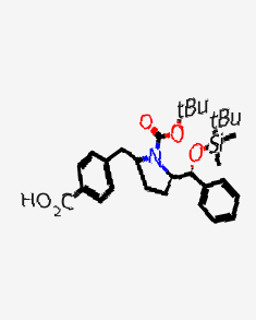 CC(C)(C)OC(=O)N1C(Cc2ccc(C(=O)O)cc2)CC[C@@H]1[C@H](O[Si](C)(C)C(C)(C)C)c1ccccc1